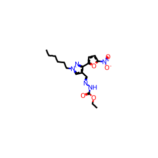 CCCCCCn1cc(/C=N/NC(=O)OCC)c(-c2ccc([N+](=O)[O-])o2)n1